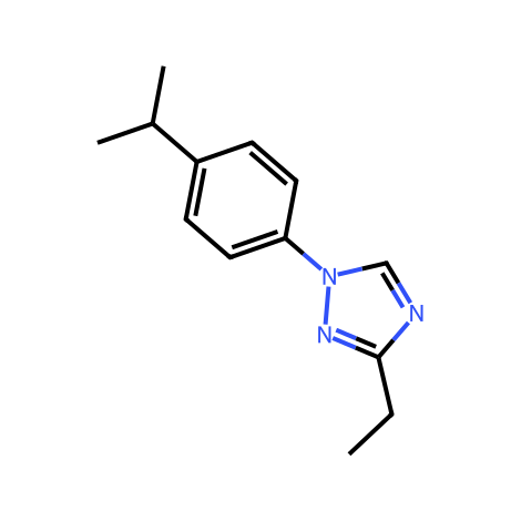 CCc1ncn(-c2ccc(C(C)C)cc2)n1